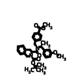 COC(=O)c1ccc(CN(C(=O)C2Cc3ccccc3CN2C(=O)OC(C)(C)C)[C@H](C)c2cccc(OC)c2)cc1